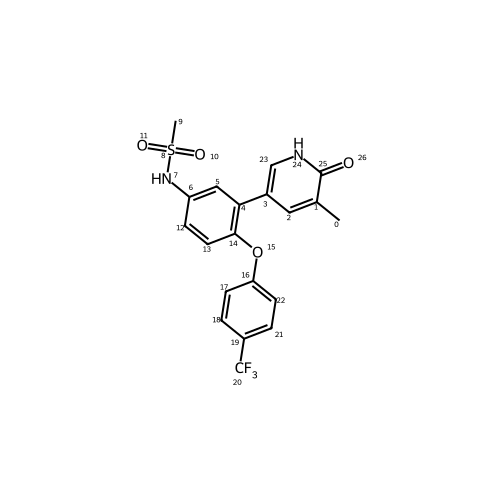 Cc1cc(-c2cc(NS(C)(=O)=O)ccc2Oc2ccc(C(F)(F)F)cc2)c[nH]c1=O